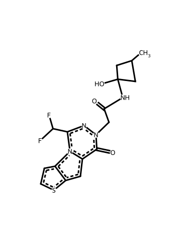 CC1CC(O)(NC(=O)Cn2nc(C(F)F)n3c(cc4sccc43)c2=O)C1